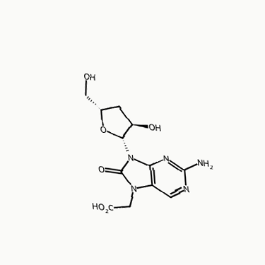 Nc1ncc2c(n1)n([C@@H]1O[C@H](CO)C[C@H]1O)c(=O)n2CC(=O)O